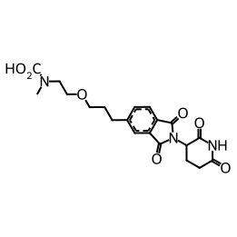 CN(CCOCCCc1ccc2c(c1)C(=O)N(C1CCC(=O)NC1=O)C2=O)C(=O)O